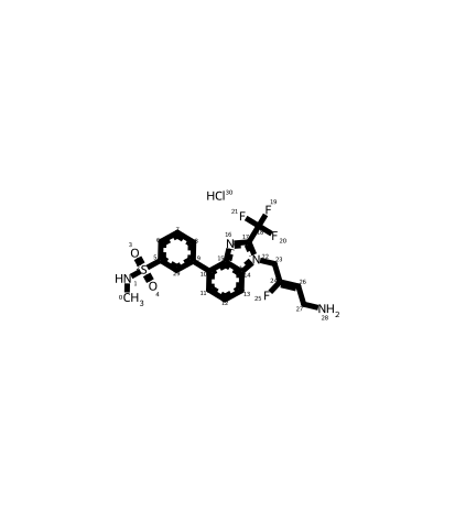 CNS(=O)(=O)c1cccc(-c2cccc3c2nc(C(F)(F)F)n3CC(F)=CCN)c1.Cl